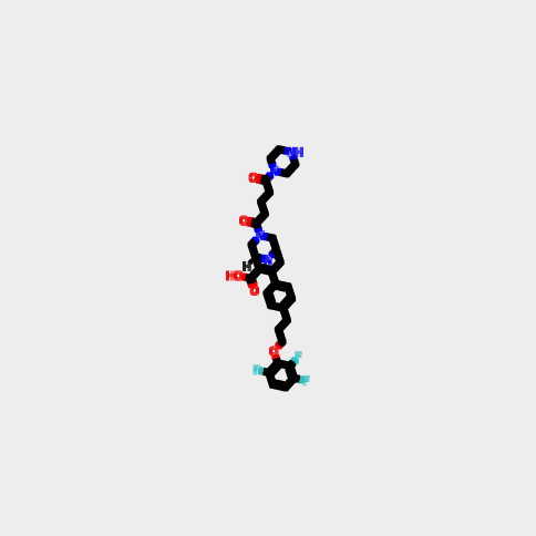 O=C(O)C1=C(c2ccc(CCCOc3c(F)ccc(F)c3F)cc2)CC2CN(C(=O)CCCC(=O)N3CCNCC3)C[C@H]1N2